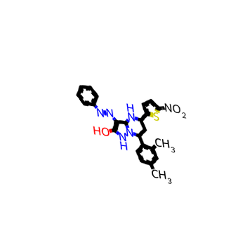 Cc1ccc(C2CC(c3ccc([N+](=O)[O-])s3)NC3C(N=Nc4ccccc4)=C(O)NN32)c(C)c1